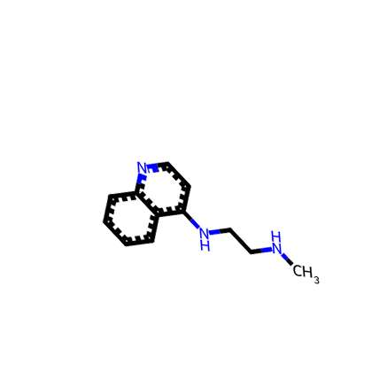 CNCCNc1ccnc2ccccc12